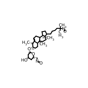 C[C@@H]1C2=CCC3C4CCC(CCCCC(C)(C)N=O)[C@@]4(C)CC[C@@]3(C)C2CC[C@@H]1O[C@H]1C[C@@H](O)C[C@@H](CN=O)O1